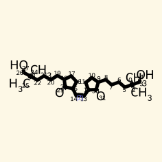 CC(C)(CO)CCCCC1CCC(/C=C\C2CCC(CCCCC(C)(C)CO)C2=O)C1=O